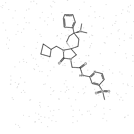 CN(C)[C@]1(c2ccccc2)CC[C@]2(CC1)CN(CC(=O)Nc1cc(S(C)(=O)=O)ccn1)C(=O)N2CC1CCC1